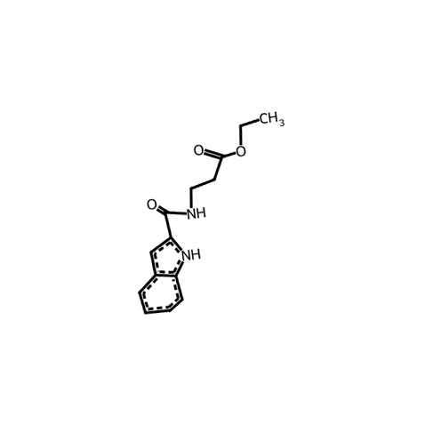 CCOC(=O)CCNC(=O)c1cc2ccccc2[nH]1